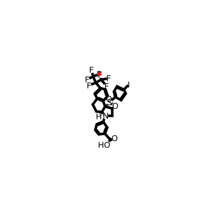 O=C(O)c1cccc(N2CC[C@@]3(S(=O)(=O)c4ccc(I)cc4)c4ccc(C(F)(C(F)(F)F)C(F)(F)F)cc4CC[C@@H]23)c1